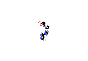 CC(C)(CC(=O)O)CC(=O)N1CCC[C@H](CNc2nc(-c3c[nH]c4ncc(Cl)cc34)ncc2F)C1